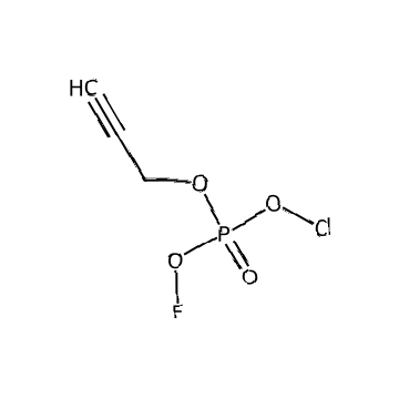 C#CCOP(=O)(OF)OCl